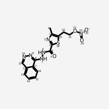 Cc1nc(C(=O)NNc2nncc3ccccc23)sc1CCO[N+](=O)[O-]